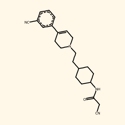 N#CCC(=O)NC1CCC(CCN2CC=C(c3cccc(C#N)c3)CC2)CC1